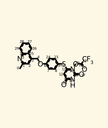 Cc1cc(COc2ccc(Sc3cc(=O)[nH]c(=O)n3OC(=O)C(F)(F)F)cc2)c2ccccc2n1